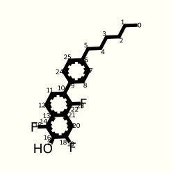 CCCCCCc1ccc(-c2ccc3c(F)c(O)c(F)cc3c2F)cc1